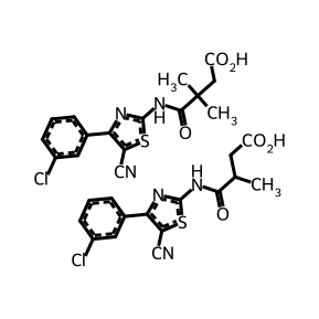 CC(C)(CC(=O)O)C(=O)Nc1nc(-c2cccc(Cl)c2)c(C#N)s1.CC(CC(=O)O)C(=O)Nc1nc(-c2cccc(Cl)c2)c(C#N)s1